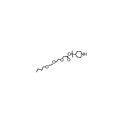 CCCCOCCOCCOCC(=O)OC(C)(C)C1CCNCC1